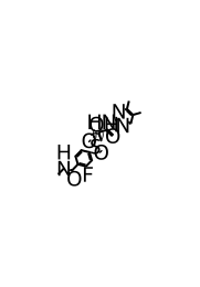 CNC(=O)c1ccc(S(=O)(=O)C[C@](C)(O)C(=O)Nc2ncc(C)c(C)n2)cc1F